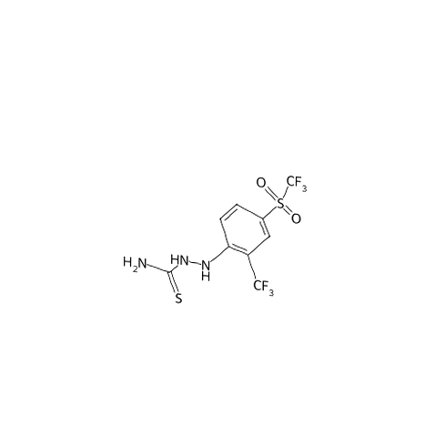 NC(=S)NNc1ccc(S(=O)(=O)C(F)(F)F)cc1C(F)(F)F